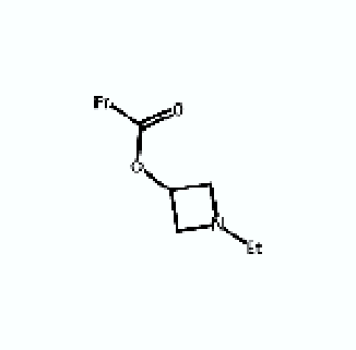 CCN1CC(OC(=O)C(C)C)C1